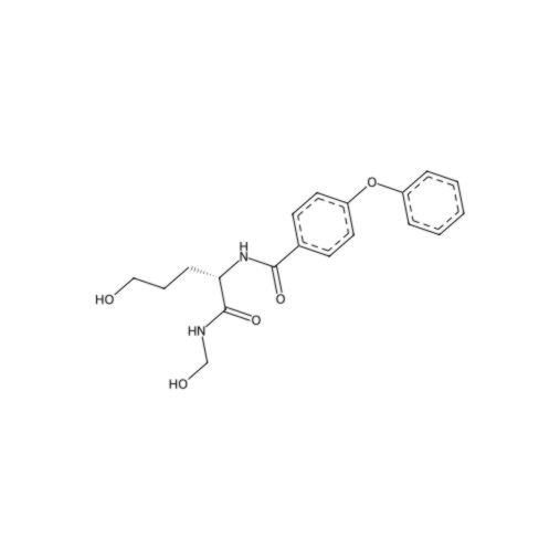 O=C(N[C@@H](CCCO)C(=O)NCO)c1ccc(Oc2ccccc2)cc1